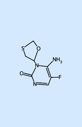 Nc1c(F)cnc(=O)n1C1CSCO1